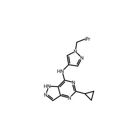 CC(C)Cn1cc(Nc2nc(C3CC3)nc3cn[nH]c23)cn1